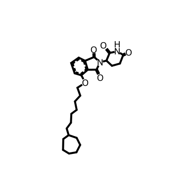 O=C1CCC(N2C(=O)c3cccc(OCCCCCCCC4CCCCCC4)c3C2=O)C(=O)N1